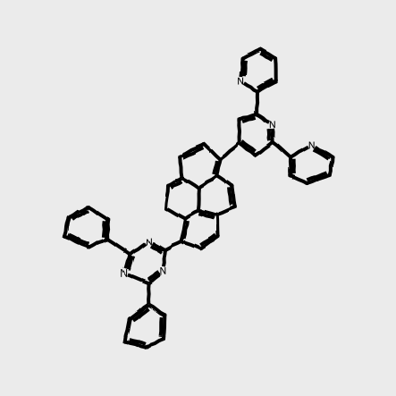 C1=CC(c2cc(-c3ccccn3)nc(-c3ccccn3)c2)=C2C=Cc3ccc(-c4nc(-c5ccccc5)nc(-c5ccccc5)n4)c4c3C2C1=CC4